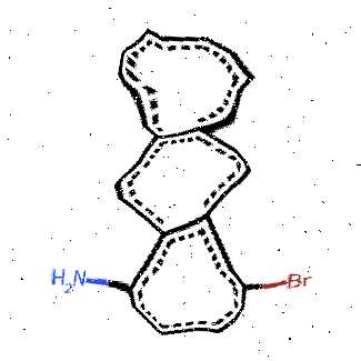 Nc1ccc(Br)c2cc3ccccc3cc12